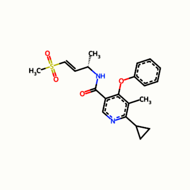 Cc1c(C2CC2)ncc(C(=O)N[C@@H](C)/C=C/S(C)(=O)=O)c1Oc1ccccc1